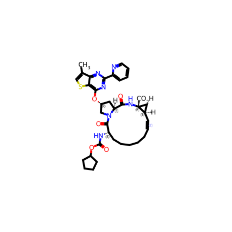 Cc1csc2c(O[C@@H]3C[C@H]4C(=O)N[C@]5(C(=O)O)C[C@H]5/C=C\CCCCC[C@H](NC(=O)OC5CCCC5)C(=O)N4C3)nc(-c3ccccn3)nc12